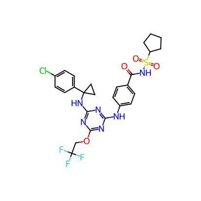 O=C(NS(=O)(=O)C1CCCC1)c1ccc(Nc2nc(NC3(c4ccc(Cl)cc4)CC3)nc(OCC(F)(F)F)n2)cc1